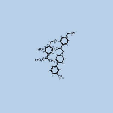 CC(C)Cc1ccc(C(C)CN2CC=C(c3cccc(C(F)(F)F)c3)CC2)cc1.CCOC(=O)C(C)c1ccc(CC(C)C)cc1.Cl